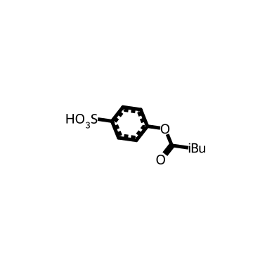 CCC(C)C(=O)Oc1ccc(S(=O)(=O)O)cc1